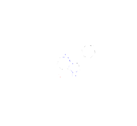 CCC(CC)Oc1cc(C)nn2c(-c3c(C)cc(C)cc3C)cnc12